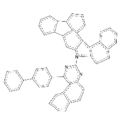 c1ccc(-c2ccc(-c3nc(-n4c5ccc6ccccc6c5c5c6cccc7c6c(cc54)-c4ccccc4-7)nc4ccc5ccccc5c34)cc2)cc1